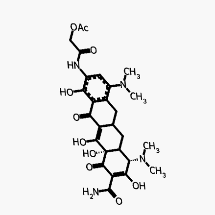 CC(=O)OCC(=O)Nc1cc(N(C)C)c2c(c1O)C(=O)C1=C(O)[C@]3(O)C(=O)C(C(N)=O)=C(O)[C@@H](N(C)C)C3CC1C2